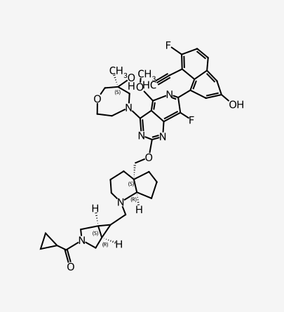 C#Cc1c(F)ccc2cc(O)cc(-c3nc(OC)c4c(N5CCOC[C@@](C)(O)C5)nc(OC[C@]56CCC[C@H]5N(CC5[C@H]7CN(C(=O)C8CC8)C[C@@H]57)CCC6)nc4c3F)c12